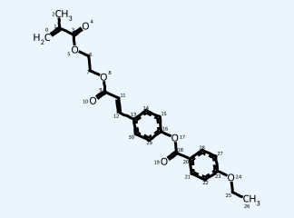 C=C(C)C(=O)OCCOC(=O)/C=C/c1ccc(OC(=O)c2ccc(OCC)cc2)cc1